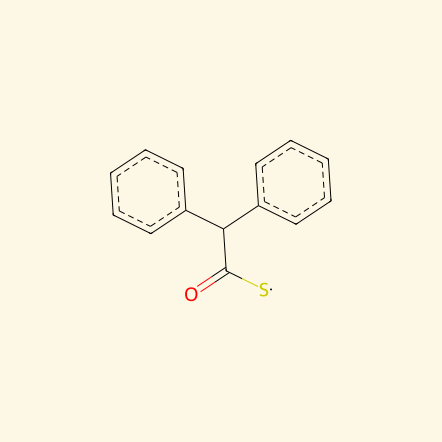 O=C([S])C(c1ccccc1)c1ccccc1